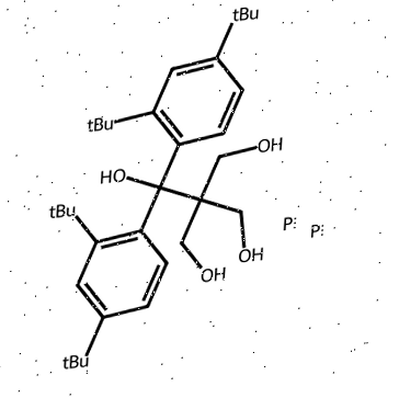 CC(C)(C)c1ccc(C(O)(c2ccc(C(C)(C)C)cc2C(C)(C)C)C(CO)(CO)CO)c(C(C)(C)C)c1.[P].[P]